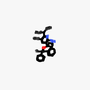 COC(OC)c1nc2c(cc1C=O)C1(O[Si](c3ccccc3)(c3ccccc3)C(C)(C)C)CC(C1)N2